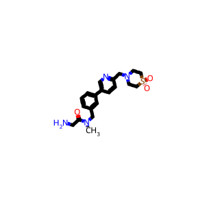 CN(Cc1cccc(-c2ccc(CN3CCS(=O)(=O)CC3)nc2)c1)C(=O)CN